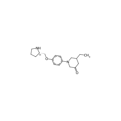 CCC1CC(=O)CN(c2ccc(OC[C@@H]3CCCN3)cc2)C1